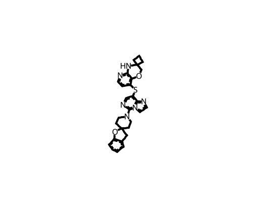 c1ccc2c(c1)CC1(CCN(c3ncc(Sc4ccnc5c4OCC4(CCC4)N5)c4nccn34)CC1)O2